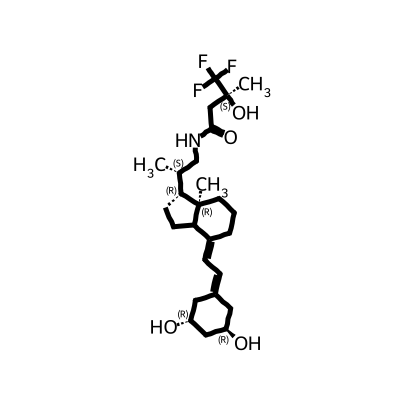 C[C@H](CNC(=O)C[C@](C)(O)C(F)(F)F)[C@H]1CCC2C(=CC=C3C[C@@H](O)C[C@H](O)C3)CCC[C@@]21C